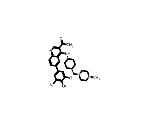 CC(=O)c1cnc2ccc(-c3cc(Cl)c(O)c(Cl)c3)cc2c1N[C@H]1CC[C@H](CN2CCN(C)CC2)CC1